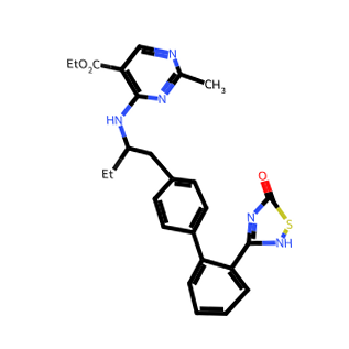 CCOC(=O)c1cnc(C)nc1NC(CC)Cc1ccc(-c2ccccc2-c2nc(=O)s[nH]2)cc1